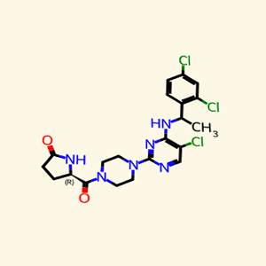 CC(Nc1nc(N2CCN(C(=O)[C@H]3CCC(=O)N3)CC2)ncc1Cl)c1ccc(Cl)cc1Cl